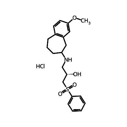 COc1ccc2c(c1)CC(NC[C@H](O)CS(=O)(=O)c1ccccc1)CCC2.Cl